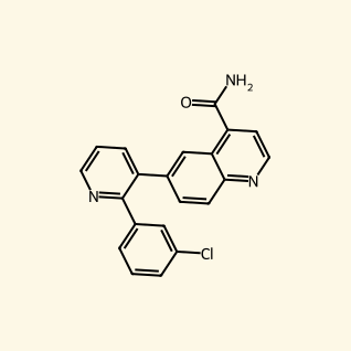 NC(=O)c1ccnc2ccc(-c3cccnc3-c3cccc(Cl)c3)cc12